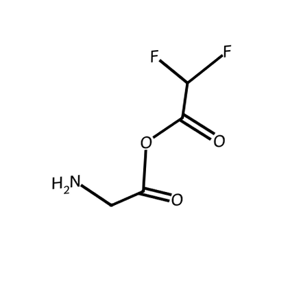 NCC(=O)OC(=O)C(F)F